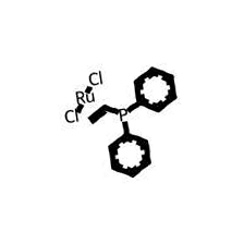 C=CP(c1ccccc1)c1ccccc1.[Cl][Ru][Cl]